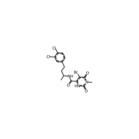 CC(CCc1ccc(Cl)c(Cl)c1)NC(=O)c1[nH]c(=O)n(C)c(=O)c1Br